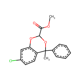 COC(=O)C1Oc2cc(Cl)ccc2C(C)(c2ccccc2)O1